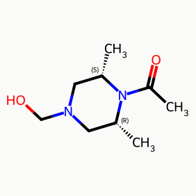 CC(=O)N1[C@H](C)CN(CO)C[C@@H]1C